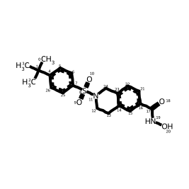 CC(C)(C)c1ccc(S(=O)(=O)N2CCc3cc(C(=O)NO)ccc3C2)cc1